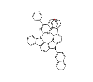 c1ccc(-c2nc(-n3c4ccccc4c4ccc5c(c6c7oc8ccccc8c7ccc6n5-c5ccc6ccccc6c5)c43)nc3ccccc23)cc1